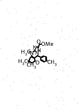 COC(=O)c1nc2n(n1)C(c1ccc(C)cc1)C1=C(CC(C)(C)CC1=O)N2C